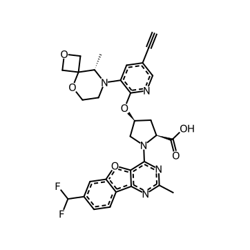 C#Cc1cnc(O[C@H]2C[C@@H](C(=O)O)N(c3nc(C)nc4c3oc3cc(C(F)F)ccc34)C2)c(N2CCOC3(COC3)[C@@H]2C)c1